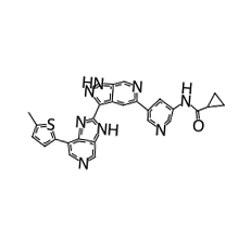 Cc1ccc(-c2cncc3[nH]c(-c4n[nH]c5cnc(-c6cncc(NC(=O)C7CC7)c6)cc45)nc23)s1